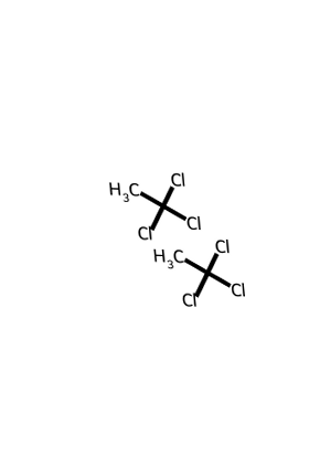 CC(Cl)(Cl)Cl.CC(Cl)(Cl)Cl